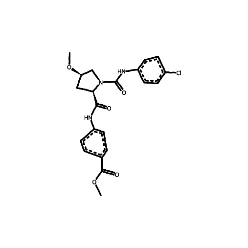 COC(=O)c1ccc(NC(=O)[C@H]2C[C@@H](OC)CN2C(=O)Nc2ccc(Cl)cc2)cc1